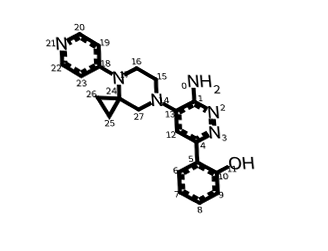 Nc1nnc(-c2ccccc2O)cc1N1CCN(c2ccncc2)C2(CC2)C1